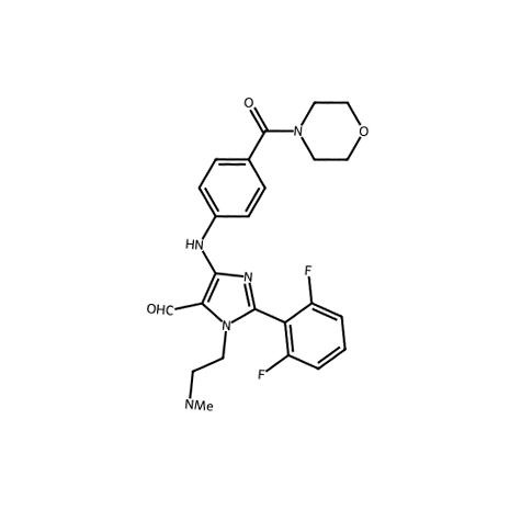 CNCCn1c(-c2c(F)cccc2F)nc(Nc2ccc(C(=O)N3CCOCC3)cc2)c1C=O